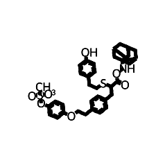 CS(=O)(=O)Oc1ccc(OCCc2ccc(CC(SCCc3ccc(O)cc3)C(=O)ONC34CC5CC(CC(C5)C3)C4)cc2)cc1